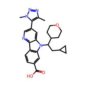 Cc1nnn(C)c1-c1cnc2c3ccc(C(=O)O)cc3n(C(CC3CC3)C3CCOCC3)c2c1